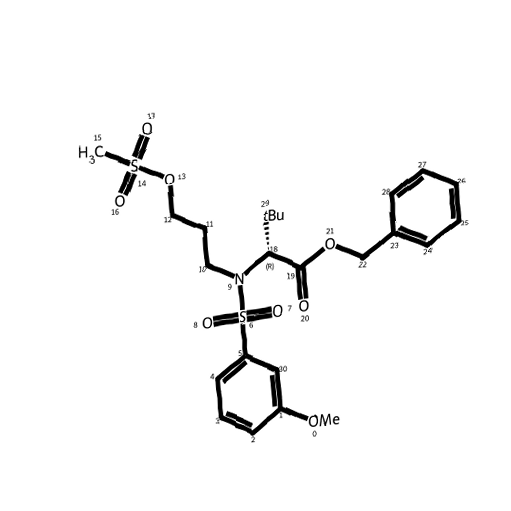 COc1cccc(S(=O)(=O)N(CCCOS(C)(=O)=O)[C@@H](C(=O)OCc2ccccc2)C(C)(C)C)c1